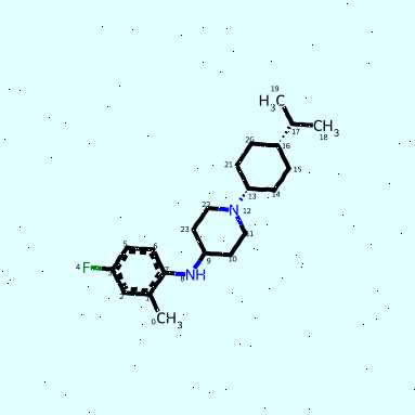 Cc1cc(F)ccc1NC1CCN([C@H]2CC[C@@H](C(C)C)CC2)CC1